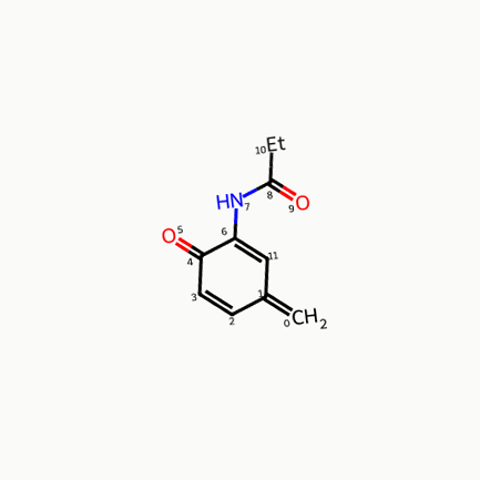 C=C1C=CC(=O)C(NC(=O)CC)=C1